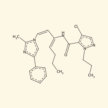 CCC/C=C(/C=C\n1cc(-c2ccccc2)nc1C)NC(=O)c1c(Cl)cnn1CCC